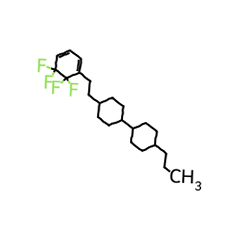 CCCC1CCC(C2CCC(CCC3=CC=CC(F)(F)C3(F)F)CC2)CC1